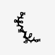 O=S(=O)(CCO)CCNCCS(=O)(=O)CCO